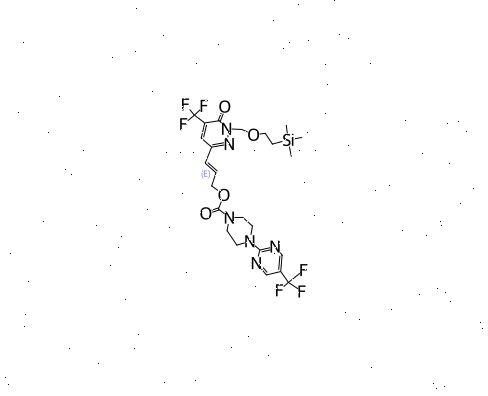 C[Si](C)(C)CCOCn1nc(/C=C/COC(=O)N2CCN(c3ncc(C(F)(F)F)cn3)CC2)cc(C(F)(F)F)c1=O